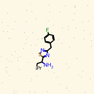 CC(C)CC(N)c1nc(Cc2ccc(F)cc2)ns1